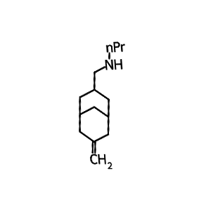 C=C1CC2CC(CNCCC)CC(C1)C2